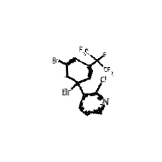 FC(F)(F)C(F)(C1=CC(Br)(c2cccnc2Cl)[CH]C(Br)=C1)C(F)(F)F